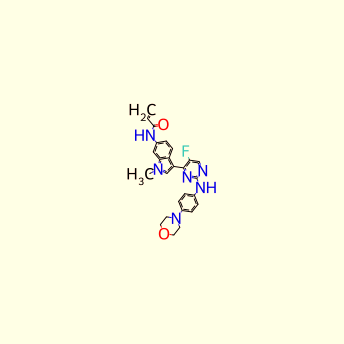 C=CC(=O)Nc1ccc2c(-c3nc(Nc4ccc(N5CCOCC5)cc4)ncc3F)cn(C)c2c1